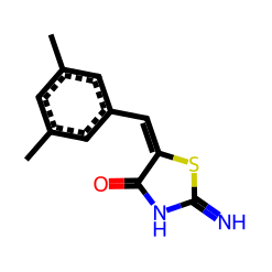 Cc1cc(C)cc(C=C2SC(=N)NC2=O)c1